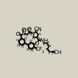 C#C/C=C\C=C/CNC(=O)C1CC(C#N)N(C(=O)CN(C)C(=O)c2cccc(-c3ccc(C(F)(F)F)cc3)c2)C1